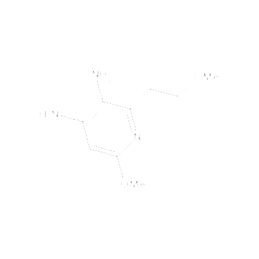 COCCc1nc(OC)cc(N)c1N